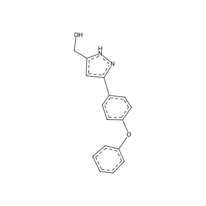 OCc1cc(-c2ccc(Oc3ccccc3)cc2)n[nH]1